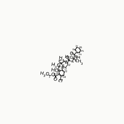 CCOC(=O)c1cc([C@]2(CO)CCN(C(=O)CC(C)(C)NC(=O)c3ccccc3)CC2(C)C)ccc1Cl